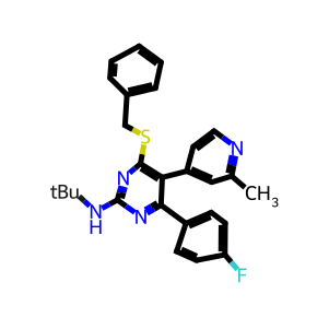 Cc1cc(-c2c(SCc3ccccc3)nc(NC(C)(C)C)nc2-c2ccc(F)cc2)ccn1